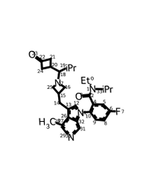 CCN(C(=O)c1cc(F)ccc1-n1cc(CC2CN(C(C(C)C)C3CC(=O)C3)C2)c2c(C)cncc21)C(C)C